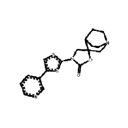 O=C1OC2(CN3CCC2CC3)CN1c1nc(-c2cccnc2)cs1